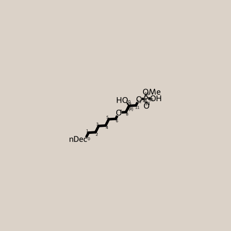 CCCCCCCCCCCCCCCCOC[C@@H](O)COP(=O)(O)OC